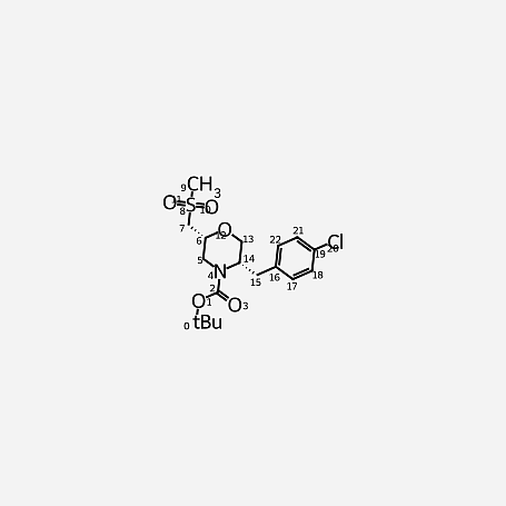 CC(C)(C)OC(=O)N1C[C@H](CS(C)(=O)=O)OC[C@@H]1Cc1ccc(Cl)cc1